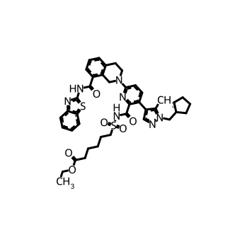 CCOC(=O)CCCCCS(=O)(=O)NC(=O)c1nc(N2CCc3cccc(C(=O)Nc4nc5ccccc5s4)c3C2)ccc1-c1cnn(CC2CCCC2)c1C